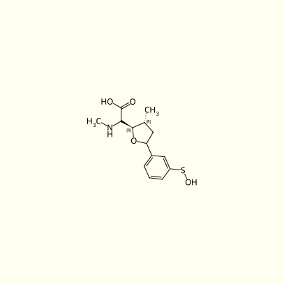 CNC(C(=O)O)[C@@H]1OC(c2cccc(SO)c2)C[C@H]1C